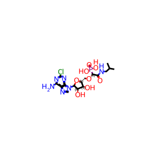 CC(C)CNC(=O)[C@H](OC[C@H]1OC(n2cnc3c(N)nc(Cl)nc32)[C@H](O)[C@@H]1O)P(=O)(O)O